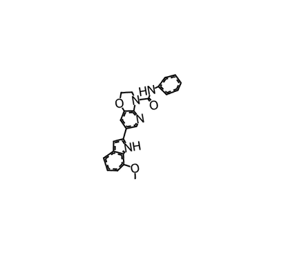 COc1cccc2cc(-c3cnc4c(c3)OCCN4C(=O)Nc3ccccc3)[nH]c12